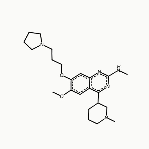 CNc1nc(C2CCCN(C)C2)c2cc(OC)c(OCCCN3CCCC3)cc2n1